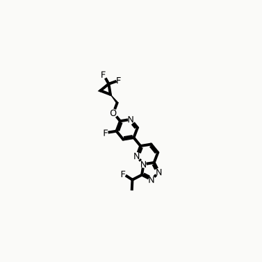 CC(F)c1nnc2ccc(-c3cnc(OC[C@H]4CC4(F)F)c(F)c3)nn12